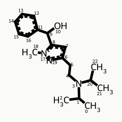 CC(C)N(CCc1cc(C(O)c2ccccc2)n(C)n1)C(C)C